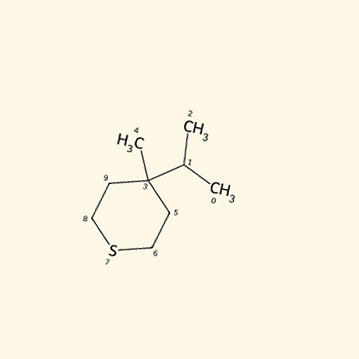 CC(C)C1(C)CCSCC1